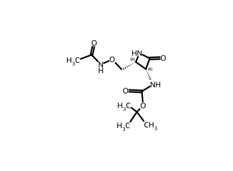 CC(=O)NOC[C@@H]1NC(=O)[C@@H]1NC(=O)OC(C)(C)C